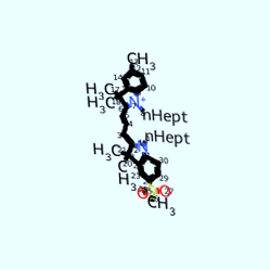 CCCCCCCN1C(=CC=CC2=[N+](CCCCCCC)c3ccc(C)cc3C2(C)C)C(C)(C)c2cc(S(C)(=O)=O)ccc21